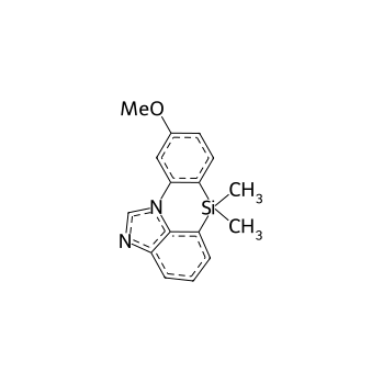 COc1ccc2c(c1)-n1cnc3cccc(c31)[Si]2(C)C